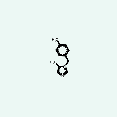 Cc1ccc(Cn2cncc2C)cc1